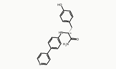 NC(=O)[C@@H](Cc1ccc(O)cc1)Nc1ccc(-c2ccncc2)cc1